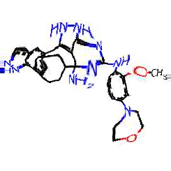 COc1cc(N2CCOCC2)ccc1NC1=NC(N)(C2CCCCC2)C2=C(c3ccc4[nH]ncc4c3)NNC2=N1